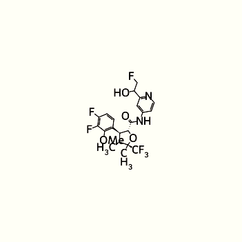 COc1c([C@H]2[C@H](C(=O)Nc3ccnc(C(O)CF)c3)O[C@@](C)(C(F)(F)F)[C@H]2C)ccc(F)c1F